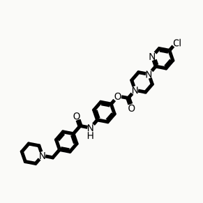 O=C(Nc1ccc(OC(=O)N2CCN(c3ccc(Cl)cn3)CC2)cc1)c1ccc(CN2CCCCC2)cc1